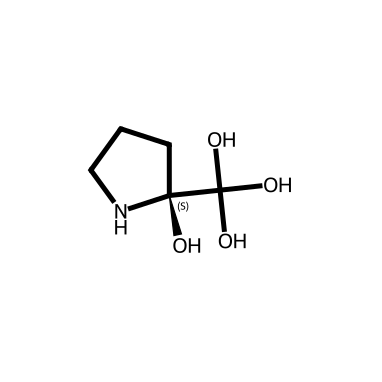 OC(O)(O)[C@@]1(O)CCCN1